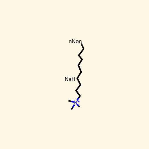 CCCCCCCCCCCCCCCCCC[N+](C)(C)C.[NaH]